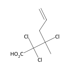 C=CCC(C)(Cl)C(Cl)(Cl)C(=O)O